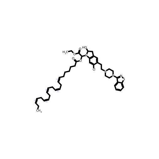 CC/C=C\C/C=C\C/C=C\C/C=C\C/C=C\CCCCCC(=O)OC(C(=O)OCC)N1c2cc(Cl)c(CCN3CCN(c4nsc5ccccc45)CC3)cc2CC1O